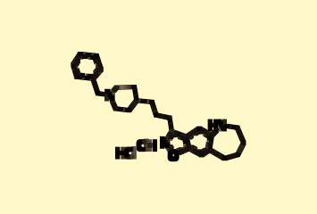 Cl.Cl.c1ccc(CN2CCC(CCCc3noc4cc5c(cc34)NCCCC5)CC2)cc1